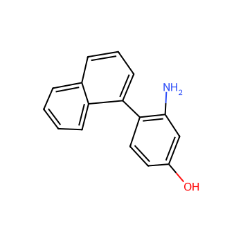 Nc1cc(O)ccc1-c1cccc2ccccc12